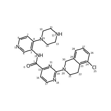 O=C(Nc1cnccc1N1CCNCC1)c1ccnc(N2CCc3c(Cl)cccc3C2)n1